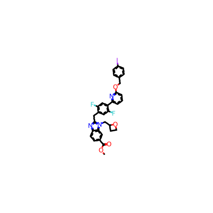 COC(=O)c1ccc2nc(Cc3cc(F)c(-c4cccc(OCc5ccc(I)cc5)n4)cc3F)n(CC3CCO3)c2c1